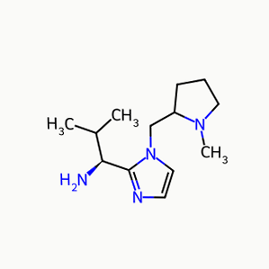 CC(C)[C@H](N)c1nccn1CC1CCCN1C